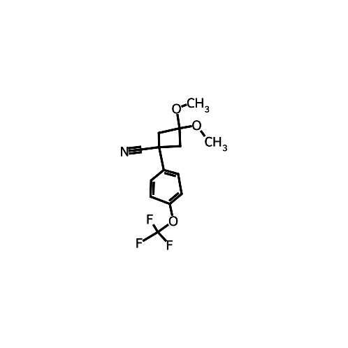 COC1(OC)CC(C#N)(c2ccc(OC(F)(F)F)cc2)C1